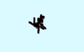 CCCCCCCCCCC(CCCCCCCC)CN1C(=O)C2=C(c3ccc(-c4sc(-c5c6c(c(-c7cc(CCCC)c(-c8ccc(C)s8)s7)c7nsnc57)N=S=N6)cc4CCCOCCCCCCCC)s3)N(CC(CCCCCCCC)CCCCCCCCCC)C(=O)C2=C1C